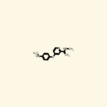 C=C(NC)c1cc(Oc2ccc(NC)cc2)ccn1